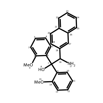 COc1ccccc1C(O)(c1ccccc1OC)C(N)c1ccc2ccccc2c1